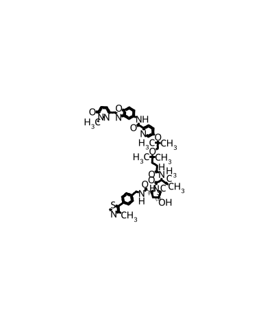 Cc1ncsc1-c1ccc(CNC(=O)[C@H]2C[C@H](O)CN2C(=O)C(NC(=O)CCC(C)(C)OCC(C)(C)Oc2ccc(C(=O)Nc3ccc4oc(-c5ccc(=O)n(C)n5)nc4c3)nc2)C(C)(C)C)cc1